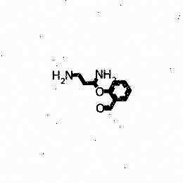 NCCC(N)Oc1ccccc1C=O